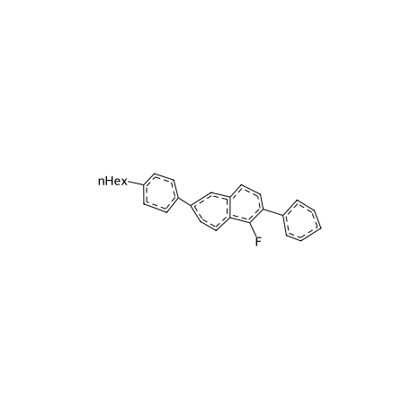 CCCCCCc1ccc(-c2ccc3c(F)c(-c4ccccc4)ccc3c2)cc1